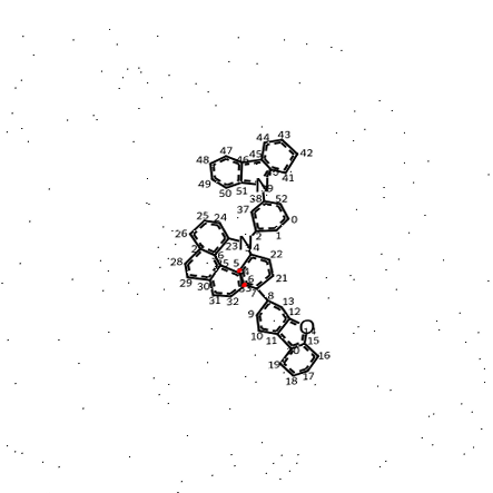 c1cc(N(c2ccc(-c3ccc4c(c3)oc3ccccc34)cc2)c2cccc3ccc4ccccc4c23)cc(-n2c3ccccc3c3ccccc32)c1